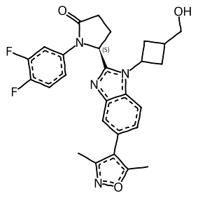 Cc1noc(C)c1-c1ccc2c(c1)nc([C@@H]1CCC(=O)N1c1ccc(F)c(F)c1)n2C1CC(CO)C1